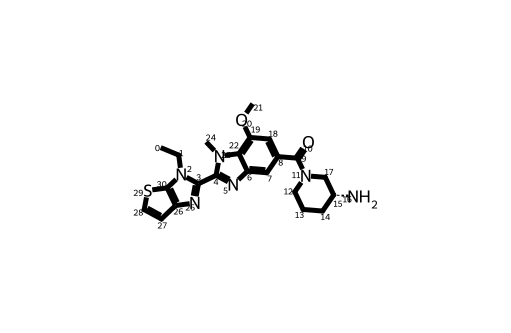 CCn1c(-c2nc3cc(C(=O)N4CCC[C@@H](N)C4)cc(OC)c3n2C)nc2ccsc21